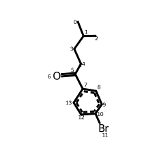 CC(C)C[CH]C(=O)c1ccc(Br)cc1